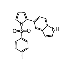 Cc1ccc(S(=O)(=O)n2cccc2-c2ccc3[nH]ccc3c2)cc1